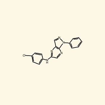 Clc1ccc(Nc2cnc3c(cnn3-c3ccccc3)n2)cc1